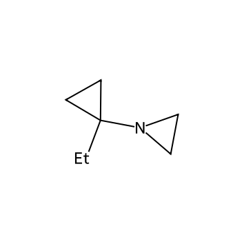 CCC1(N2CC2)CC1